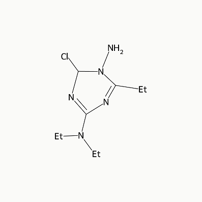 CCC1=NC(N(CC)CC)=NC(Cl)N1N